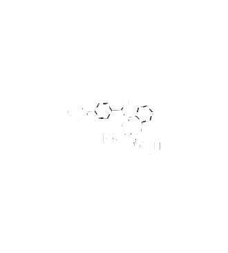 O=C(c1ccc([N+](=O)[O-])cc1Cl)N1CC(CO)N(C(=O)O)Cc2ccccc21